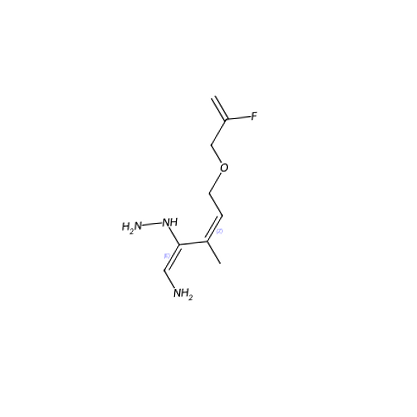 C=C(F)COC/C=C(C)\C(=C/N)NN